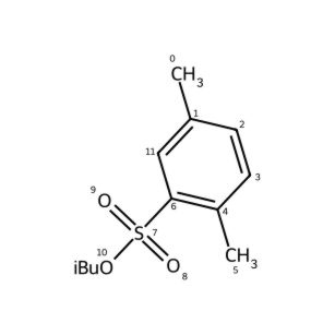 Cc1ccc(C)c(S(=O)(=O)OCC(C)C)c1